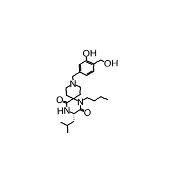 CCCCN1C(=O)[C@H](CC(C)C)NC(=O)C12CCN(Cc1ccc(CO)c(O)c1)CC2